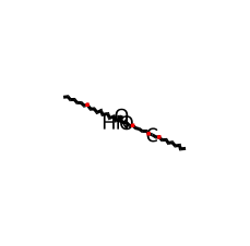 CCCCCCCCCCCCCCCCCCONC(=O)CCCCCCCCCCCCCCCCC